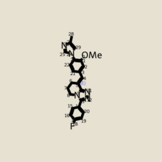 COc1cc(/C=C2\CCCn3c2nnc3-c2ccc(F)cc2)ccc1-n1cnc(C)c1